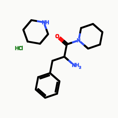 C1CCNCC1.Cl.NC(Cc1ccccc1)C(=O)N1CCCCC1